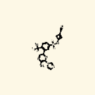 [2H]C([2H])([2H])c1ccc(S(=O)(=O)NC23CC(C#N)(C2)C3)cc1-c1cnc(N)c(-n2cncn2)n1